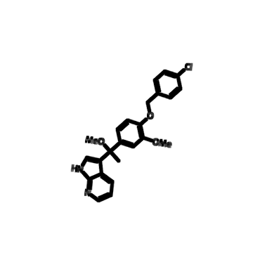 COc1cc(C(C)(OC)c2c[nH]c3ncccc23)ccc1OCc1ccc(Cl)cc1